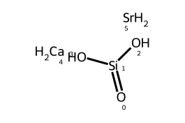 O=[Si](O)O.[CaH2].[SrH2]